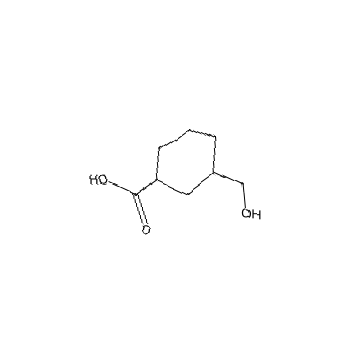 O=C(O)C1CCCC(CO)C1